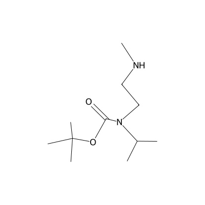 CNCCN(C(=O)OC(C)(C)C)C(C)C